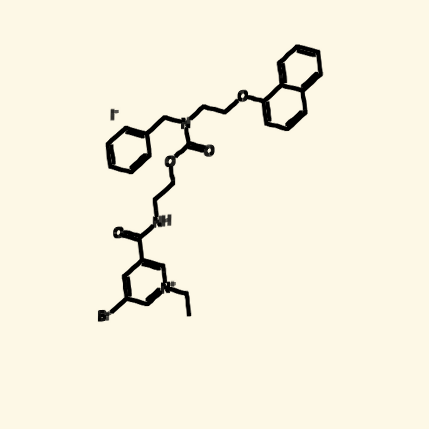 CC[n+]1cc(Br)cc(C(=O)NCCOC(=O)N(CCOc2cccc3ccccc23)Cc2ccccc2)c1.[I-]